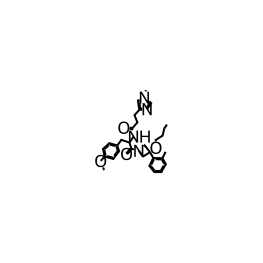 CCCCOC1(c2ccccc2C)CN(C(=O)C(Cc2ccc(OC)cc2)NC(=O)CCc2cn(C)cn2)C1